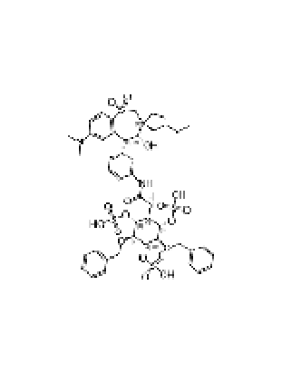 CCCC[C@]1(CC)CS(=O)(=O)c2ccc(N(C)C)cc2[C@@H](c2cccc(NC(=O)N[C@@H]3[C@@H](OS(=O)(=O)O)[C@H](OCc4ccccc4)[C@@H](OS(=O)(=O)O)[C@H](OCc4ccccc4)[C@H]3OS(=O)(=O)O)c2)[C@H]1O